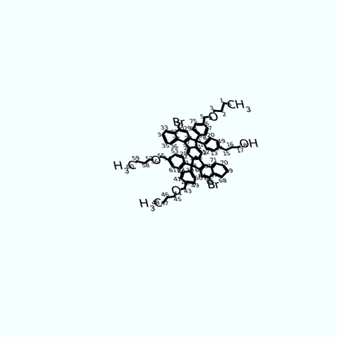 CCCCOCc1ccc(C2(c3ccc(CCCO)cc3)c3cc4c(cc3-c3c2cc(Br)c2ccccc32)C(c2ccc(COCCCC)cc2)(c2ccc(COCCCC)cc2)c2cc(Br)c3ccccc3c2-4)cc1